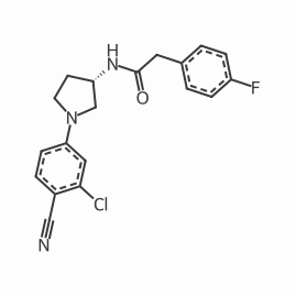 N#Cc1ccc(N2CC[C@H](NC(=O)Cc3ccc(F)cc3)C2)cc1Cl